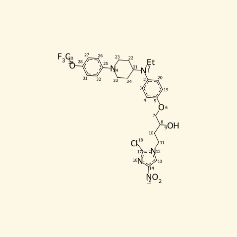 CCN(c1ccc(OCC(O)CCn2cc([N+](=O)[O-])nc2Cl)cc1)C1CCN(c2ccc(OC(F)(F)F)cc2)CC1